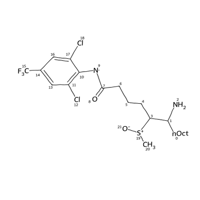 CCCCCCCCC(N)C(CCCC(=O)[N]c1c(Cl)cc(C(F)(F)F)cc1Cl)[S+](C)[O-]